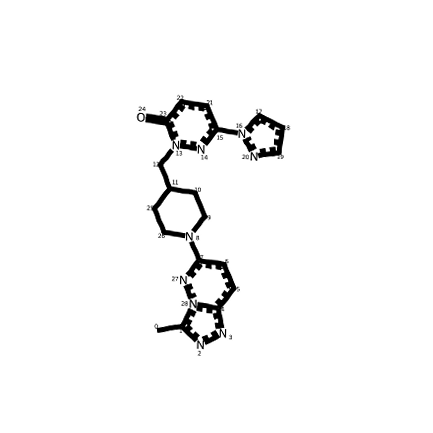 Cc1nnc2ccc(N3CCC(Cn4nc(-n5cccn5)ccc4=O)CC3)nn12